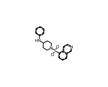 O=S(=O)(c1cccc2cnccc12)N1CCC(Nc2ccccc2)CC1